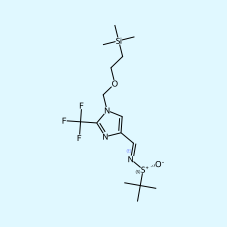 CC(C)(C)[S@@+]([O-])/N=C/c1cn(COCC[Si](C)(C)C)c(C(F)(F)F)n1